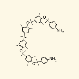 Cc1cc(C(C)(C)Oc2c(C)cc(C(C)(C)c3cc(C)c(OC(C)(C)c4cc(C)c(OC(C)(C)c5ccc(N)cc5)c(C)c4)c(C)c3)cc2C)cc(C)c1OC(C)(C)c1ccc(N)cc1